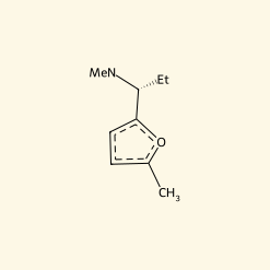 CC[C@@H](NC)c1ccc(C)o1